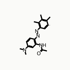 CC(=O)Nc1cc(N(C)C)ccc1N=Nc1c[c]c(C)c(C)c1C